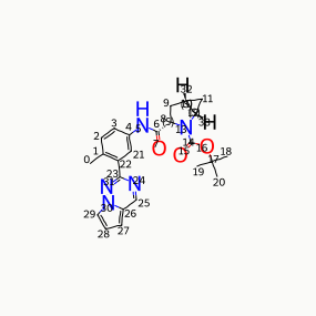 Cc1ccc(NC(=O)[C@@H]2C[C@@H]3C[C@@H]3N2C(=O)OC(C)(C)C)cc1-c1ncc2cccn2n1